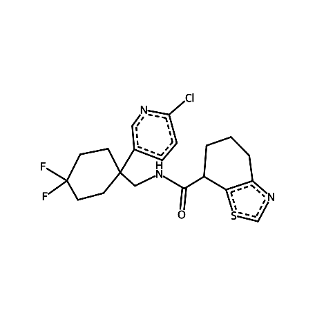 O=C(NCC1(c2ccc(Cl)nc2)CCC(F)(F)CC1)C1CCCc2ncsc21